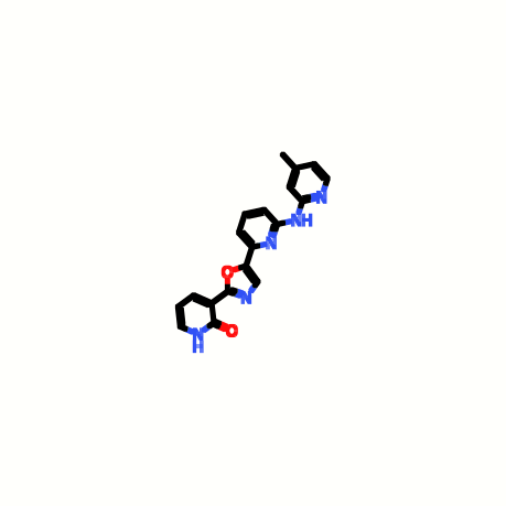 Cc1ccnc(Nc2cccc(-c3cnc(-c4ccc[nH]c4=O)o3)n2)c1